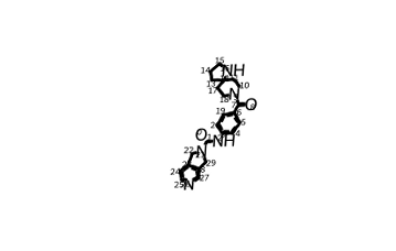 O=C(Nc1ccc(C(=O)N2CCC3(CCCN3)CC2)cc1)N1Cc2ccncc2C1